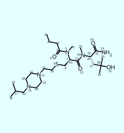 CCCC(=O)N(C)[C@H](CSCCN1CCN(CC(C)C)CC1)C(=O)N(C)[C@@H](CC(C)(C)O)C(N)=O